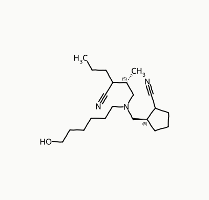 CCCC(C#N)[C@H](C)CN(CCCCCCO)C[C@@H]1CCCC1C#N